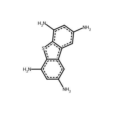 Nc1cc(N)c2sc3c(N)cc(N)cc3c2c1